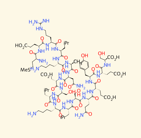 CSCC[C@H](N)C(=O)N[C@@H](CCC(=O)O)C(=O)N[C@@H](CCCNC(=N)N)C(=O)N[C@@H](CC(C)C)C(=O)N[C@@H](CCCCN)C(=O)N[C@@H](C)C(=O)N[C@@H](CC(N)=O)C(=O)N[C@@H](CC(=O)O)C(=O)N[C@@H](CO)C(=O)N[C@@H](CC(C)C)C(=O)N[C@@H](CCCCN)C(=O)N[C@@H](CC(C)C)C(=O)N[C@@H](CO)C(=O)N[C@@H](CCC(N)=O)C(=O)N[C@@H](CCC(=O)O)C(=O)N[C@@H](Cc1ccc(O)cc1)C(=O)N[C@@H](CCC(=O)O)C(=O)N[C@@H](CO)C(=O)O